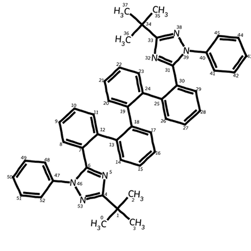 CC(C)(C)c1nc(-c2ccccc2-c2ccccc2-c2ccccc2-c2ccccc2-c2nc(C(C)(C)C)nn2-c2ccccc2)n(-c2ccccc2)n1